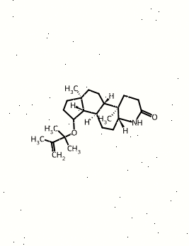 C=C(C)C(C)(C)OC1CC[C@@]2(C)CC[C@H]3[C@@H](CC[C@H]4NC(=O)CC[C@@]43C)[C@H]12